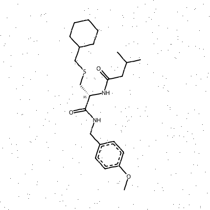 COc1ccc(CNC(=O)[C@H](CSCC2CCCCC2)NC(=O)CC(C)C)cc1